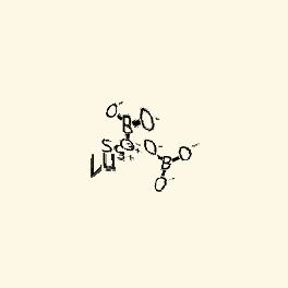 [Lu+3].[O-]B([O-])[O-].[O-]B([O-])[O-].[Sc+3]